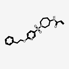 C=CC(=O)NC1CCCN(S(=O)(=O)c2ccc(OCCc3ccccc3)nc2)CC1